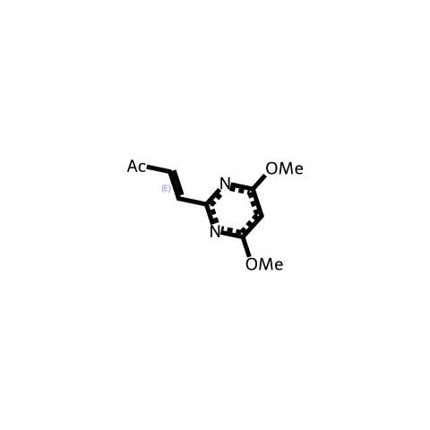 COc1cc(OC)nc(/C=C/C(C)=O)n1